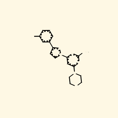 COc1nc(N2CCOCC2)cc(-n2ccc(-c3cccc(C)c3)n2)n1